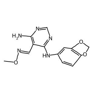 CON=Cc1c(N)ncnc1Nc1ccc2c(c1)OCO2